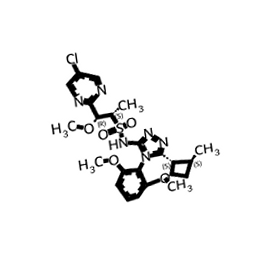 COc1cccc(OC)c1-n1c(NS(=O)(=O)[C@@H](C)[C@H](OC)c2ncc(Cl)cn2)nnc1[C@H]1CC[C@@H]1C